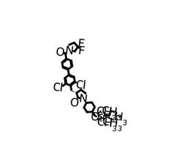 CC(C)(C)[Si](C)(C)OC1CCC(N2CC[C@@H](Cc3c(Cl)cc(-c4ccc(C(=O)N5CCC(F)(F)C5)cc4)cc3Cl)C2=O)CC1